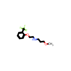 COCCCNCCOc1ccccc1C(F)(F)F